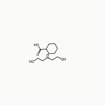 O=C(O)C1CCCCC1.OCCNCCO